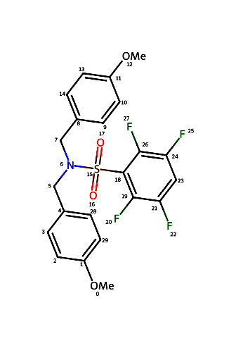 COc1ccc(CN(Cc2ccc(OC)cc2)S(=O)(=O)c2c(F)c(F)cc(F)c2F)cc1